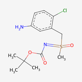 CC(C)(C)OC(=O)N=S(C)(=O)Cc1cc(N)ccc1Cl